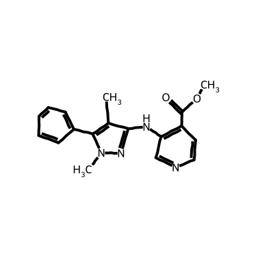 COC(=O)c1ccncc1Nc1nn(C)c(-c2ccccc2)c1C